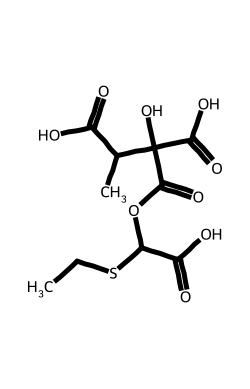 CCSC(OC(=O)C(O)(C(=O)O)C(C)C(=O)O)C(=O)O